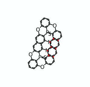 S=P12c3c4cccc3Oc3cc5cc6c7c(c5c(c31)N(c1ccccc1)c1cccc(c12)O4)N(c1ccccc1)c1cccc2c1P7(=S)c1c(cccc1O6)O2